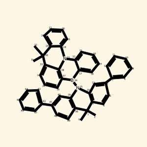 CC1(C)c2ccc(-c3ccccc3)cc2N(B2c3ccccc3N3c4ccccc4C(C)(C)c4cccc2c43)c2cc(-c3ccccc3)ccc21